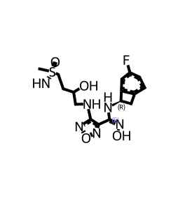 CS(=N)(=O)CCC(O)CNc1nonc1/C(=N\O)N[C@@H]1Cc2ccc(F)cc21